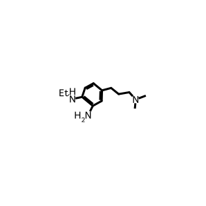 CCNc1ccc(CCCN(C)C)cc1N